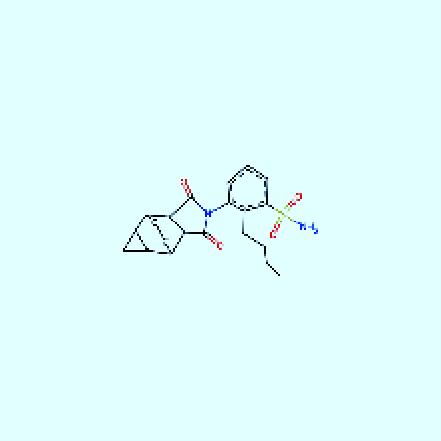 CCCCc1c(N2C(=O)C3C4CCC(C5CC54)C3C2=O)cccc1S(N)(=O)=O